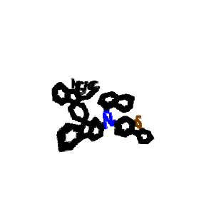 C/C=C\C1=C(C)c2ccccc2C12CCC1(CC2)c2ccccc2-c2ccc(N(c3ccc4c(c3)sc3ccccc34)c3cccc4ccccc34)cc21